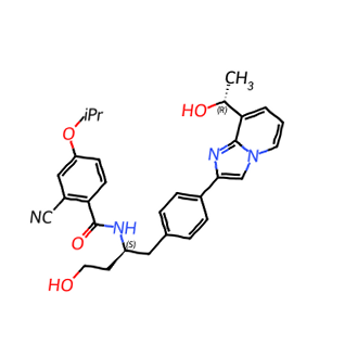 CC(C)Oc1ccc(C(=O)N[C@H](CCO)Cc2ccc(-c3cn4cccc([C@@H](C)O)c4n3)cc2)c(C#N)c1